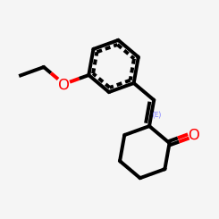 CCOc1cccc(/C=C2\CCCCC2=O)c1